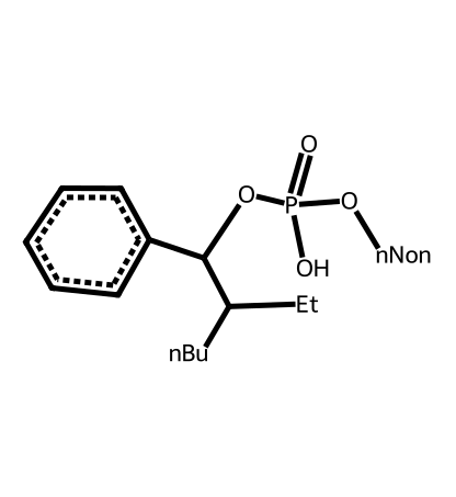 CCCCCCCCCOP(=O)(O)OC(c1ccccc1)C(CC)CCCC